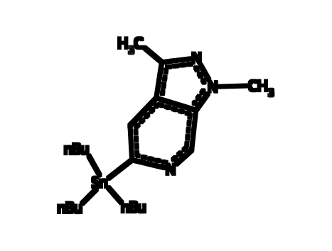 CCC[CH2][Sn]([CH2]CCC)([CH2]CCC)[c]1cc2c(C)nn(C)c2cn1